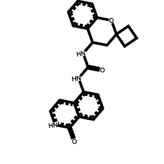 O=C(Nc1cccc2c(=O)[nH]ccc12)NC1CC2(CCC2)Oc2ccccc21